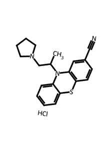 CC(CN1CCCC1)N1c2ccccc2Sc2ccc(C#N)cc21.Cl